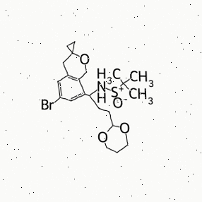 CC(C)(C)[S@+]([O-])NC(CCC1OCCCO1)c1cc(Br)cc2c1COC1(CC1)C2